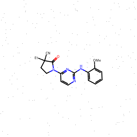 CCC1(C#N)CCN(c2ccnc(Nc3ccccc3OC)n2)C1=O